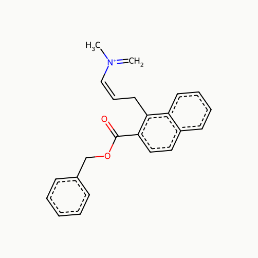 C=[N+](C)/C=C\Cc1c(C(=O)OCc2ccccc2)ccc2ccccc12